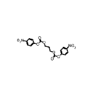 O=C(OCCCOC(=O)Oc1ccc([N+](=O)[O-])cc1)Oc1ccc([N+](=O)[O-])cc1